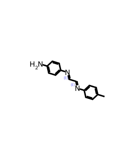 Cc1ccc(/N=C/C=N/c2ccc(N)cc2)cc1